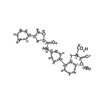 CC(C)(C)OC(=O)N(Cc1ccccc1-c1ccc(NC(=O)C2CC(c3cccnc3)=NO2)cc1)C(=O)O